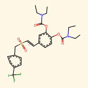 CCN(CC)C(=O)Oc1ccc(/C=C/S(=O)(=O)Cc2ccc(C(F)(F)F)cc2)cc1OC(=O)N(CC)CC